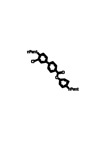 CCCCCc1ccc(OC(=O)c2ccc(-c3ccc(CCCCC)c(Cl)c3)cc2)cc1